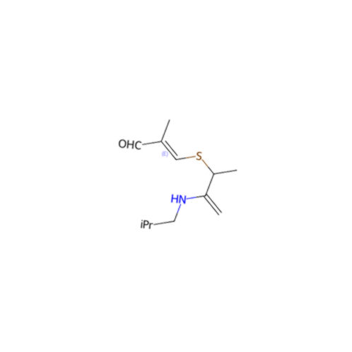 C=C(NCC(C)C)C(C)S/C=C(\C)C=O